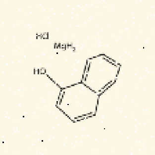 Cl.Oc1cccc2ccccc12.[MgH2]